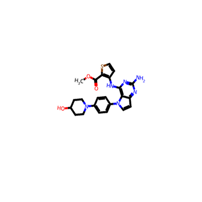 COC(=O)c1sccc1Nc1nc(N)nc2ccn(-c3ccc(N4CCC(O)CC4)cc3)c12